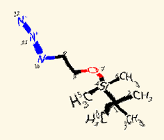 CC(C)(C)[Si](C)(C)OCCN=[N+]=[N-]